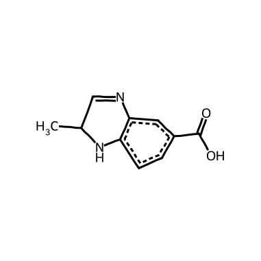 CC1C=Nc2cc(C(=O)O)ccc2N1